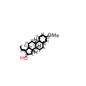 C/C=C1/[C@H](O)C[C@H]2[C@@H]3CCc4cc(OC)ccc4[C@H]3CC[C@]12C